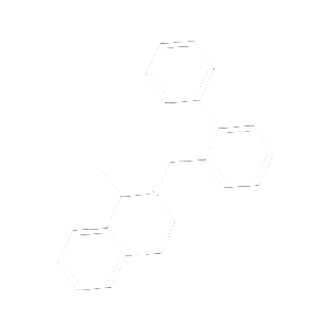 ClC1c2ccccc2CCN1Cc1ccccc1-c1ccccc1